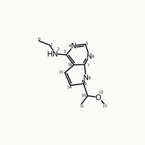 CCNc1ncnc2nc(C(C)OC)ccc12